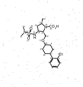 CCc1ccccc1C1CCC(OC[C@H]2[C@@H](NS(=O)(=O)N(C)C)C[C@@H](C)N2C(=O)O)CC1